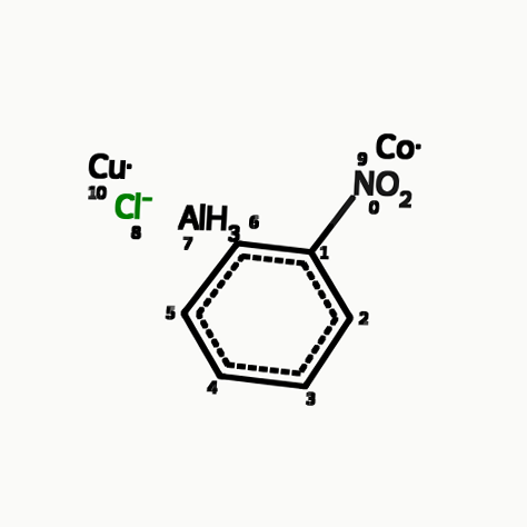 O=[N+]([O-])c1ccccc1.[AlH3].[Cl-].[Co].[Cu]